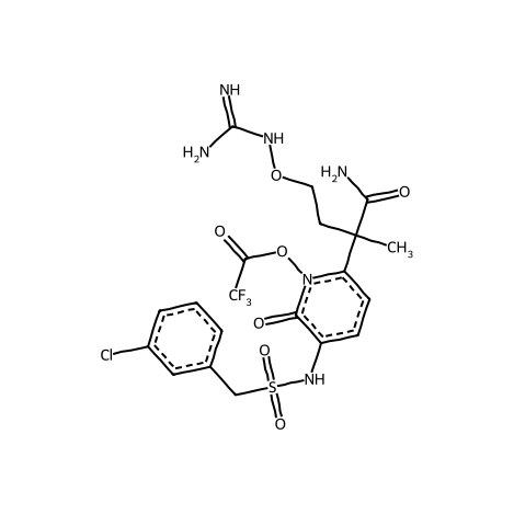 CC(CCONC(=N)N)(C(N)=O)c1ccc(NS(=O)(=O)Cc2cccc(Cl)c2)c(=O)n1OC(=O)C(F)(F)F